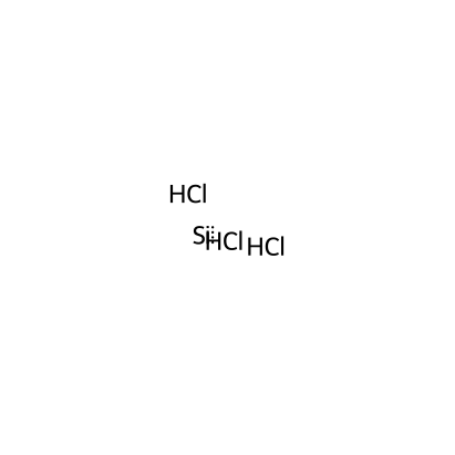 Cl.Cl.Cl.[Si]